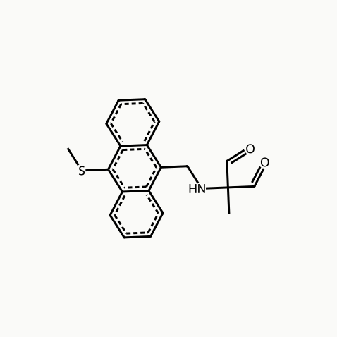 CSc1c2ccccc2c(CNC(C)(C=O)C=O)c2ccccc12